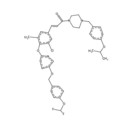 Cc1cc(/C=C/C(=O)N2CCN(Cc3ccc(OC(C)C)cc3)CC2)cc(Cl)c1Oc1ccc(OCc2ccc(OC(F)F)cc2)cn1